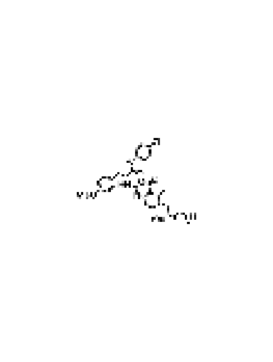 COc1ccc(C[C@H](Nc2nc3ccc(CN(C(=O)O)C(C)(C)C)c(C)c3c(=O)o2)C(=O)N(C)c2ccc(Cl)cc2)cc1